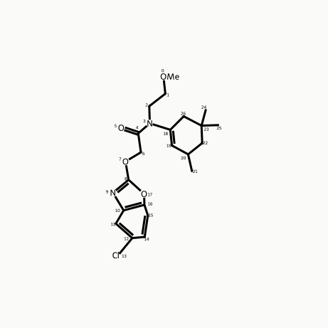 COCCN(C(=O)COc1nc2cc(Cl)ccc2o1)C1=CC(C)CC(C)(C)C1